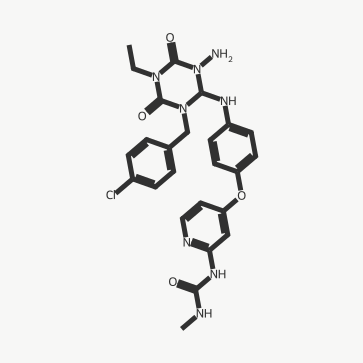 CCN1C(=O)N(N)C(Nc2ccc(Oc3ccnc(NC(=O)NC)c3)cc2)N(Cc2ccc(Cl)cc2)C1=O